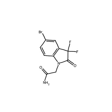 NC(=O)CN1C(=O)C(F)(F)c2cc(Br)ccc21